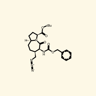 CC(C)(C)OC(=O)[C@@H]1CC[C@@H]2CC[C@H](CN=[N+]=[N-])[C@H](NC(=O)OCc3ccccc3)C(=O)N21